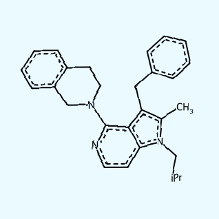 Cc1c(Cc2ccccc2)c2c(N3CCc4ccccc4C3)nccc2n1CC(C)C